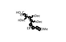 [C-]#[N+]/C(=C\c1cc(CCCCCCCCCCCC)c(-c2cc(CCCCCCCCCCCC)c(-c3cc(CCCCCCCCCCCC)c(-c4ccc5c(c4)c4cc(-c6ccc7cc(OC)ccc7c6)ccc4n5CC)s3)s2)s1)C(=O)O